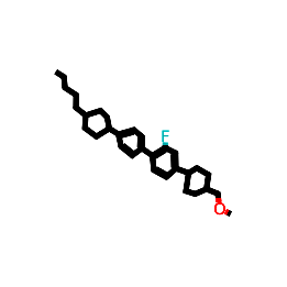 CCCCCC1CCC(c2ccc(-c3ccc(C4CCC(COC)CC4)cc3F)cc2)CC1